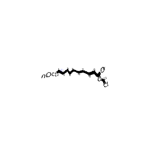 CCCCCCCC/C=C/CCCCCCCC(=O)OCCl